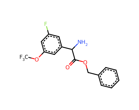 NC(C(=O)OCc1ccccc1)c1cc(F)cc(OC(F)(F)F)c1